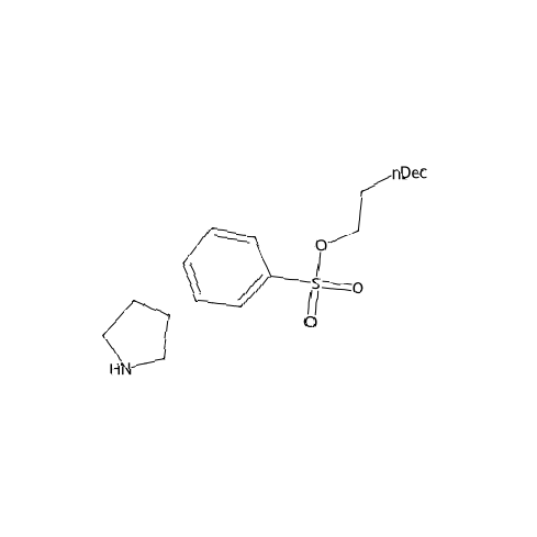 C1CCNC1.CCCCCCCCCCCCOS(=O)(=O)c1ccccc1